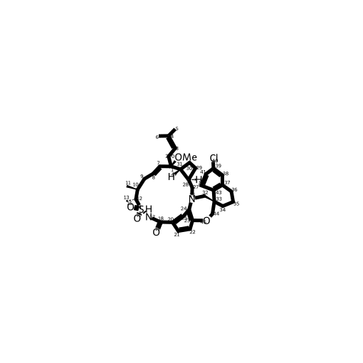 CO[C@]1(CC=C(C)C)/C=C/C[C@H](C)[C@@H](C)S(=O)(=O)NC(=O)c2ccc3c(c2)N(C[C@@H]2CC[C@H]21)C[C@@]1(CCCc2cc(Cl)ccc21)CO3